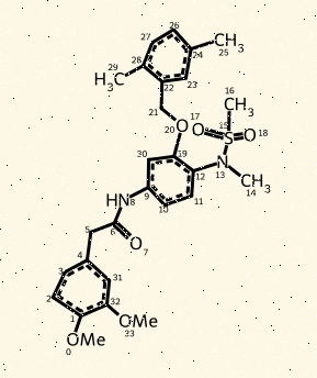 COc1ccc(CC(=O)Nc2ccc(N(C)S(C)(=O)=O)c(OCc3cc(C)ccc3C)c2)cc1OC